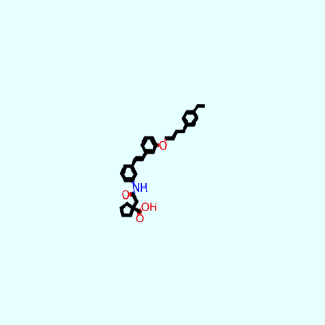 CCc1ccc(CCCCOc2cccc(/C=C/c3cccc(NC(=O)CC4(C(=O)O)CCCC4)c3)c2)cc1